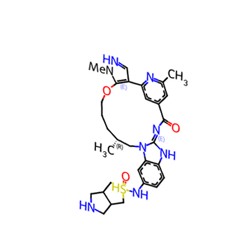 CN/C1=C(\C=N)c2cc(cc(C)n2)C(=O)/N=C2\Nc3ccc(N[SH]4(=O)CC5CNCC5C4)cc3N2C[C@H](C)CCCO1